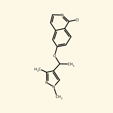 Cc1nn(C)cc1C(C)Oc1ccc2c(Cl)nccc2c1